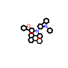 c1ccc(-n2c3ccccc3c3ccc(N(c4ccc5c(c4)oc4ccccc45)c4ccccc4-c4cccc5cccc(C6CCCCC6)c45)cc32)cc1